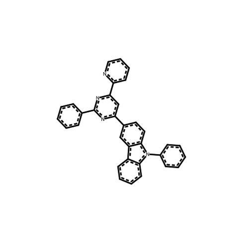 c1ccc(-c2nc(-c3ccc4c(c3)c3ccccc3n4-c3ccccc3)cc(-c3ccccn3)n2)cc1